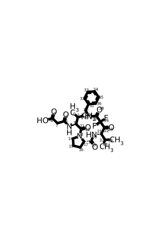 CC(C)[C@H](NC(=O)CC(=O)O)C(=O)N1CCC[C@H]1C(=O)N[C@H](C(=O)C(F)(F)C(=O)NCc1ccccc1)C(C)C